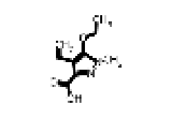 C=Cc1c(C(=O)O)nn(C)c1OCC